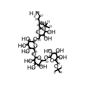 CC(C)(C)OCC1OC(OCC2OC(OCC3OC(OCC(OC(CNCCN)OC(C)(C)C)C(O)CO)C(O)C(O)C3O)C(O)C(O)C2O)C(O)C(O)C1O